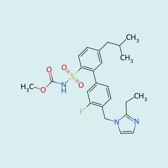 CCc1nccn1Cc1ccc(-c2cc(CC(C)C)ccc2S(=O)(=O)NC(=O)OC)cc1F